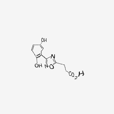 O=C(O)CCc1nc(-c2cc(O)ccc2O)no1